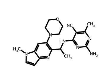 Cc1nc(N)nc(NC(C)c2nc3ccn(C)c3cc2N2CCOCC2)c1C#N